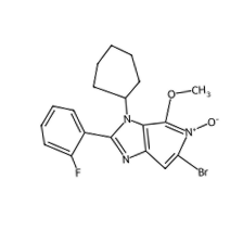 COc1c2c(cc(Br)[n+]1[O-])nc(-c1ccccc1F)n2C1CCCCC1